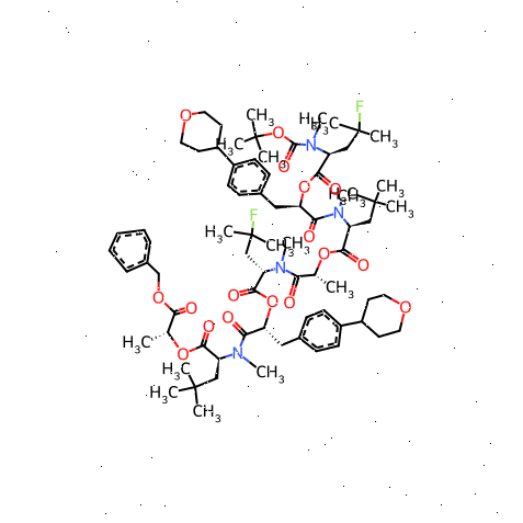 C[C@@H](OC(=O)[C@H](CC(C)(C)C)N(C)C(=O)[C@@H](Cc1ccc(C2CCOCC2)cc1)OC(=O)[C@H](CC(C)(C)F)N(C)C(=O)[C@@H](C)OC(=O)[C@H](CC(C)(C)C)N(C)C(=O)[C@@H](Cc1ccc(C2CCOCC2)cc1)OC(=O)[C@H](CC(C)(C)F)N(C)C(=O)OC(C)(C)C)C(=O)OCc1ccccc1